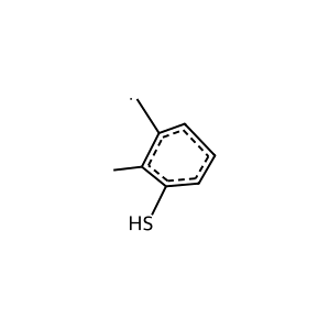 [CH2]c1cccc(S)c1C